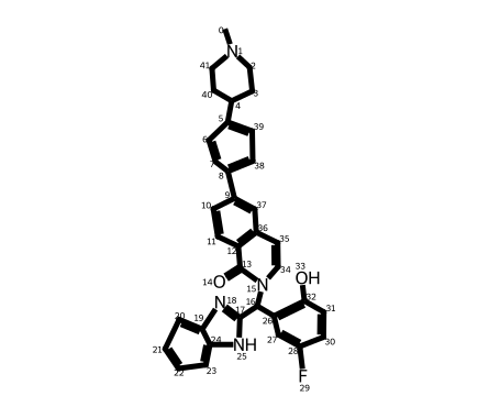 CN1CCC(c2ccc(-c3ccc4c(=O)n(C(c5nc6ccccc6[nH]5)c5cc(F)ccc5O)ccc4c3)cc2)CC1